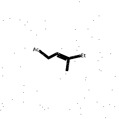 CC/C(C)=C/CC(C)=O